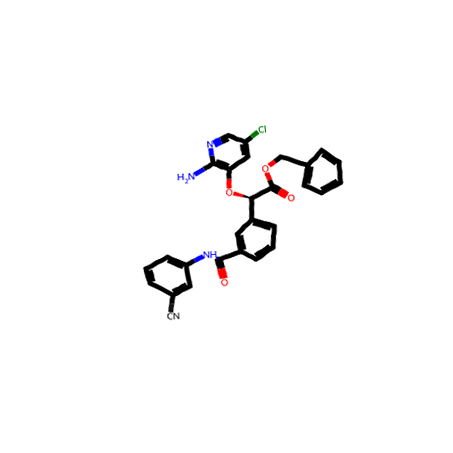 N#Cc1cccc(NC(=O)c2cccc([C@@H](Oc3cc(Cl)cnc3N)C(=O)OCc3ccccc3)c2)c1